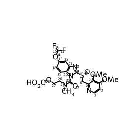 COc1ccnc(C[S+]([O-])c2nc3cc(OC(F)F)ccc3n2C(=O)N(C)CCOC(=O)O)c1OC